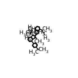 CCC1=Cc2c(-c3ccc(C(C)C)cc3)cccc2[CH]1[Zr]([Cl])([Cl])([CH]1C(C(C)CC)=Cc2c(C(C)CC)cccc21)[SiH](C)C